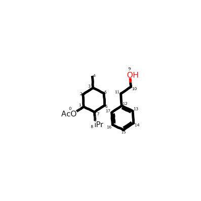 CC(=O)OC1CC(C)CCC1C(C)C.OCCc1ccccc1